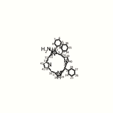 Nc1c(-c2ccccc2)c2[nH]c1cc1nc(cc3ccc([nH]3)c(-c3ccccc3)c3nc(c2-c2ccccc2)C=C3)C=C1